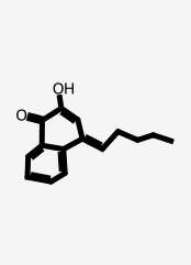 CCCCC=C1C=C(O)C(=O)c2ccccc21